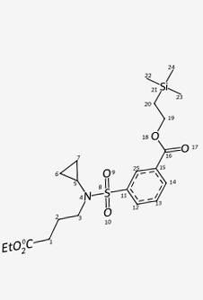 CCOC(=O)CCCN(C1CC1)S(=O)(=O)c1cccc(C(=O)OCC[Si](C)(C)C)c1